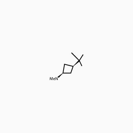 CN[C@H]1C[C@@H](C(C)(C)C)C1